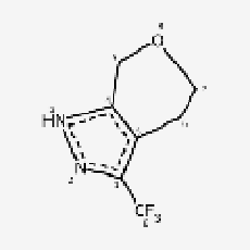 FC(F)(F)c1n[nH]c2c1CCOC2